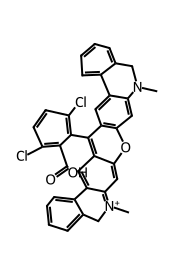 CN1Cc2ccccc2-c2cc3c(cc21)Oc1cc2c(cc1=C3c1c(Cl)ccc(Cl)c1C(=O)O)-c1ccccc1C[N+]=2C